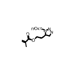 C=C(C)C(=O)OCCC1CN=NN1CCCCCCCC